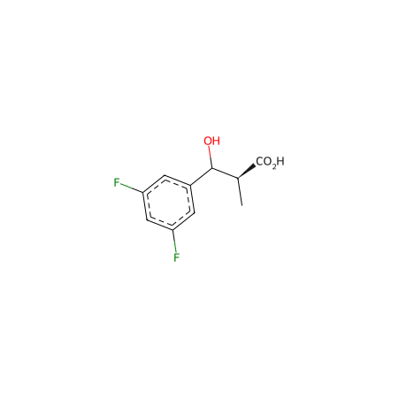 C[C@H](C(=O)O)C(O)c1cc(F)cc(F)c1